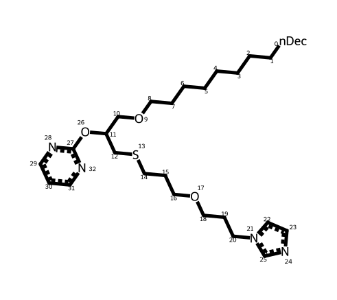 CCCCCCCCCCCCCCCCCCOCC(CSCCCOCCCn1ccnc1)Oc1ncccn1